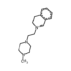 CN1CCN(CC[N+]2=Cc3ccccc3CC2)CC1